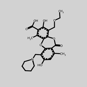 CCOCc1c(O)c(C(=O)O)c(C)c2c1OC(=O)c1c(C)cc(O)c(CN3CCCCC3)c1O2